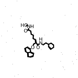 O=C(CCCC/C=C(\COc1cccc2ccccc12)C(=O)NCCC1C=CCCC1)NO